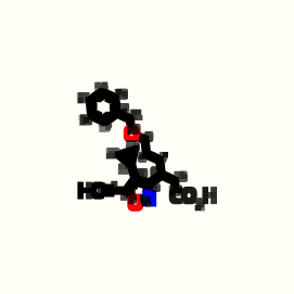 C#Cc1onc(C(CCCOCc2ccccc2)CC(=O)O)c1C1CC1